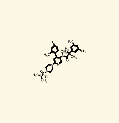 Cc1cc(F)ccc1-c1cc(N2CCN(S(=O)(=O)N(C)C)CC2)ncc1N(C)C(=O)C(C)(C)c1cc(C(F)(F)F)cc(C(F)(F)F)c1